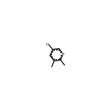 Cc1cc(Cl)cnc1C